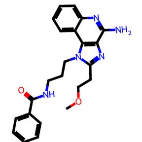 COCCc1nc2c(N)nc3ccccc3c2n1CCCNC(=O)c1ccccc1